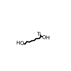 OCCCCCCC[CH](O)[Ti]